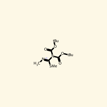 C/N=C(\SC)N(C(=O)OC(C)(C)C)C(=O)OC(C)(C)C